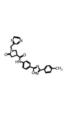 Cc1ccc(-c2noc(-c3ccc(NC(=O)C4CC(=O)N(Cc5cnccn5)C4)cc3)n2)cc1